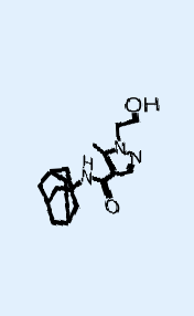 Cc1c(C(=O)NC23CC4CC(CC(C4)C2)C3)cnn1CCO